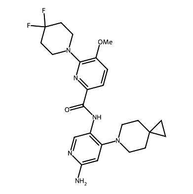 COc1ccc(C(=O)Nc2cnc(N)cc2N2CCC3(CC2)CC3)nc1N1CCC(F)(F)CC1